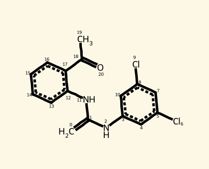 C=C(Nc1cc(Cl)cc(Cl)c1)Nc1ccccc1C(C)=O